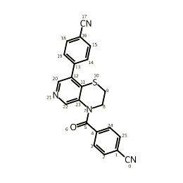 N#Cc1ccc(C(=O)N2CCSc3c(-c4ccc(C#N)cc4)cncc32)cc1